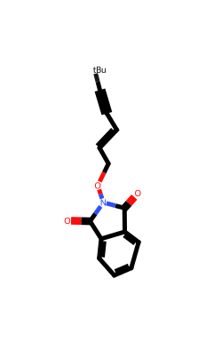 CC(C)(C)C#CC=CCON1C(=O)c2ccccc2C1=O